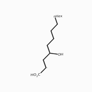 CCCCCCCCCCC(O)C[CH]C(=O)O